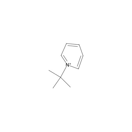 CC(C)(C)[n+]1ccccc1